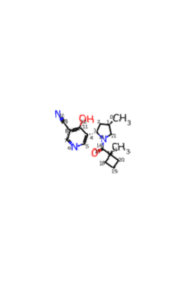 C[C@@H]1C[C@@H](c2cncc(C#N)c2O)N(C(=O)C2(C)CCC2)C1